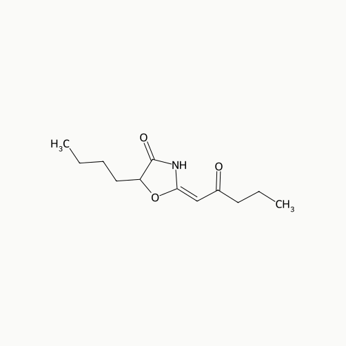 CCCCC1O/C(=C/C(=O)CCC)NC1=O